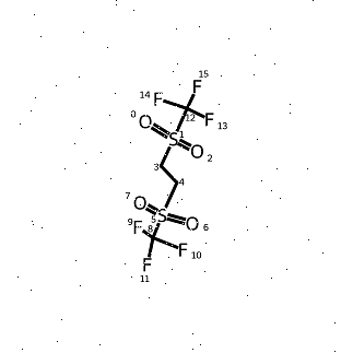 O=S(=O)(CCS(=O)(=O)C(F)(F)F)C(F)(F)F